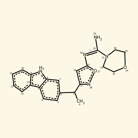 CC(c1ccc2c(c1)[nH]c1ccccc12)c1cc(/N=C(/N)N2CCOCC2)on1